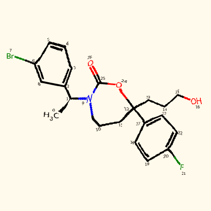 C[C@@H](c1cccc(Br)c1)N1CCC(CCCO)(c2ccc(F)cc2)OC1=O